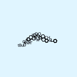 CC(C)(C)OC(=O)Nc1ccc2c(c1)[C@@]1(C)CCC[C@](C)(C(=O)NC(=O)[C@@]3(C)CCC[C@]4(C)c5cc(OCc6ccccc6)ccc5CC[C@@H]34)[C@@H]1CC2